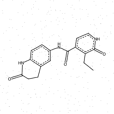 CCc1c(C(=O)Nc2ccc3c(c2)CCC(=O)N3)cc[nH]c1=O